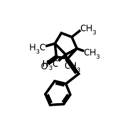 CC1CC2(C)C(=O)C(=Cc3ccccc3)C1(C)C2(C)C